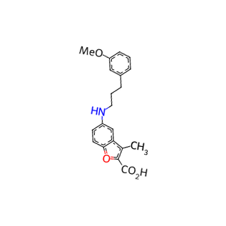 COc1cccc(CCCNc2ccc3oc(C(=O)O)c(C)c3c2)c1